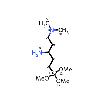 CO[Si](CCC(N)CCN(C)C)(OC)OC